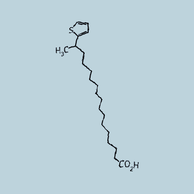 CC(CCCCCCCCCCCCCCC(=O)O)c1cccs1